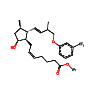 CC(/C=C/[C@@H]1[C@@H](C/C=C\CCCC(=O)OC(C)C)[C@@H](O)C[C@H]1C)COc1cccc(C(F)(F)F)c1